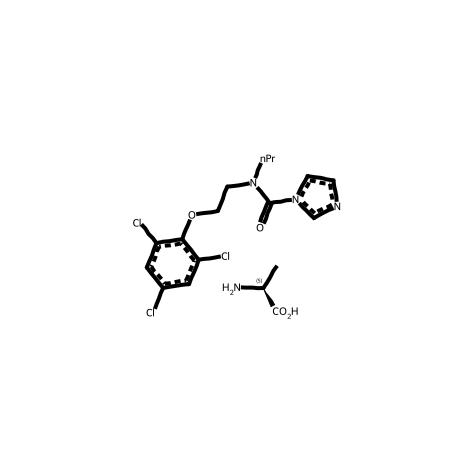 CCCN(CCOc1c(Cl)cc(Cl)cc1Cl)C(=O)n1ccnc1.C[C@H](N)C(=O)O